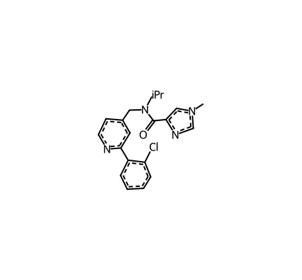 CC(C)N(Cc1ccnc(-c2ccccc2Cl)c1)C(=O)c1cn(C)cn1